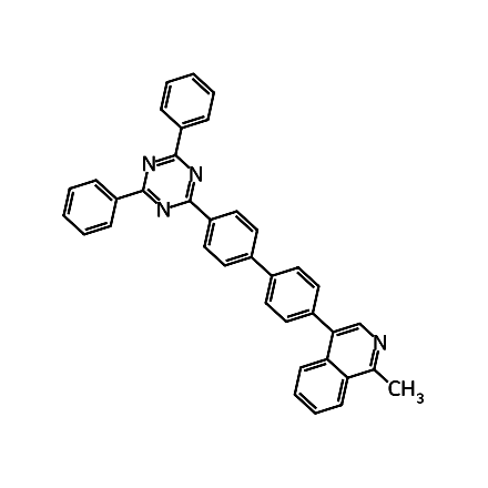 Cc1ncc(-c2ccc(-c3ccc(-c4nc(-c5ccccc5)nc(-c5ccccc5)n4)cc3)cc2)c2ccccc12